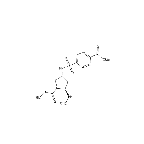 COC(=O)c1ccc(S(=O)(=O)N[C@@H]2C[C@@H](NC=O)N(C(=O)OC(C)(C)C)C2)cc1